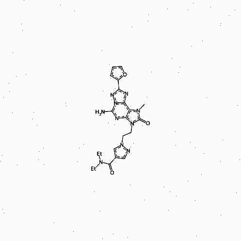 CCN(CC)C(=O)c1cnn(CCn2c(=O)n(C)c3c2nc(N)n2nc(-c4ccco4)nc32)c1